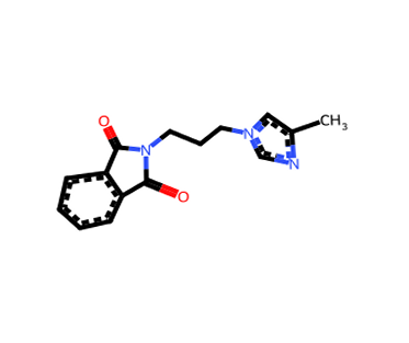 Cc1cn(CCCN2C(=O)c3ccccc3C2=O)cn1